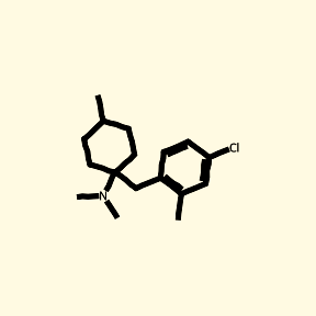 Cc1cc(Cl)ccc1CC1(N(C)C)CCC(C)CC1